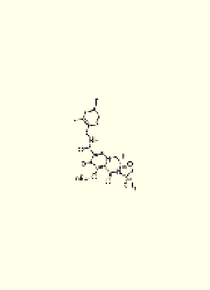 CCCCOc1c2n(cc(C(=O)NCc3ccc(F)cc3F)c1=O)C[C@H]1OC[C@H](C)N1C2=O